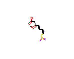 CO[C@@H](/C=C/C=C\SP(I)I)CC(=O)O